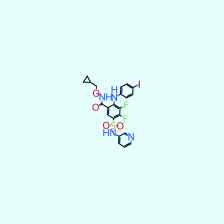 O=C(NOCC1CC1)c1cc(S(=O)(=O)Nc2cccnc2)c(F)c(F)c1Nc1ccc(I)cc1